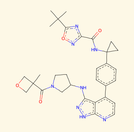 CC1(C(=O)N2CCC(Nc3n[nH]c4nccc(-c5ccc(C6(NC(=O)c7noc(C(C)(C)C)n7)CC6)cc5)c34)C2)COC1